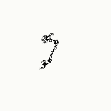 OCC1CC(O)C1Cn1cc(COCCOCCOCCn2cc(COCOC3OC(CO)C(O)C(O)C3O)nn2)nn1